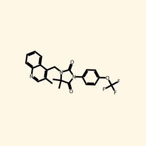 Cc1cnc2ccccc2c1CN1C(=O)N(c2ccc(OC(F)(F)F)cc2)C(=O)C1(C)C